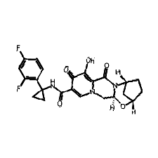 O=C(NC1(c2ccc(F)cc2F)CC1)c1cn2c(c(O)c1=O)C(=O)N1[C@@H]3CC[C@@H](C3)O[C@H]1C2